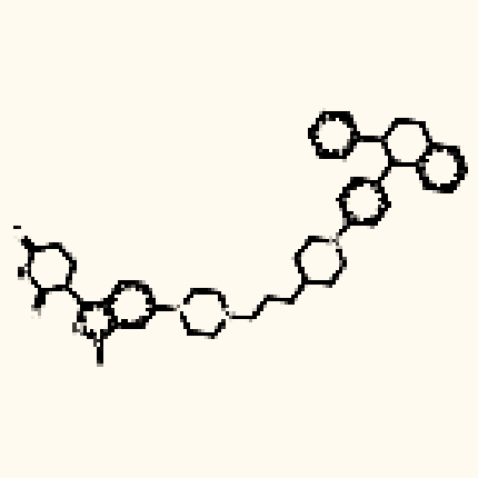 Cn1nc(C2CCC(=O)NC2=O)c2ccc(N3CCN(CCCC4CCN(c5ccc(C6c7ccccc7CCC6c6ccccc6)cc5)CC4)CC3)cc21